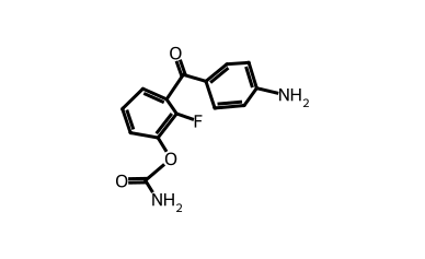 NC(=O)Oc1cccc(C(=O)c2ccc(N)cc2)c1F